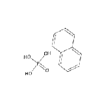 O=P(O)(O)O.c1ccc2ccccc2c1